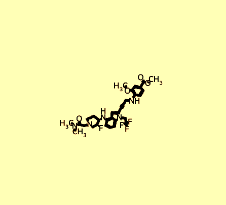 COC(=O)c1ccc(NCC#Cc2cc3c(N[C@@H]4CCN(CC(=O)N(C)C)C[C@@H]4F)cccc3n2CC(F)(F)F)c(OC)c1